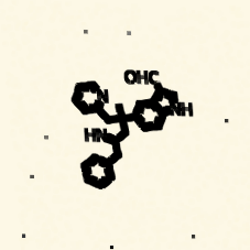 CC(CC(=N)Cc1ccccc1)(Cc1ccccn1)c1ccc2[nH]cc(C=O)c2c1